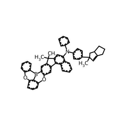 CC1(c2ccc(N(c3ccccc3)c3cc4c(c5ccccc35)-c3cc5c(cc3C4(C)C)B3c4ccccc4Oc4cccc(c43)O5)cc2)C=C2CCCC2C1